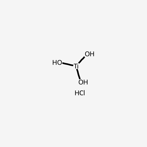 Cl.[OH][Ti]([OH])[OH]